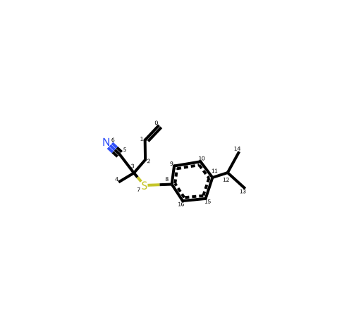 C=CCC(C)(C#N)Sc1ccc(C(C)C)cc1